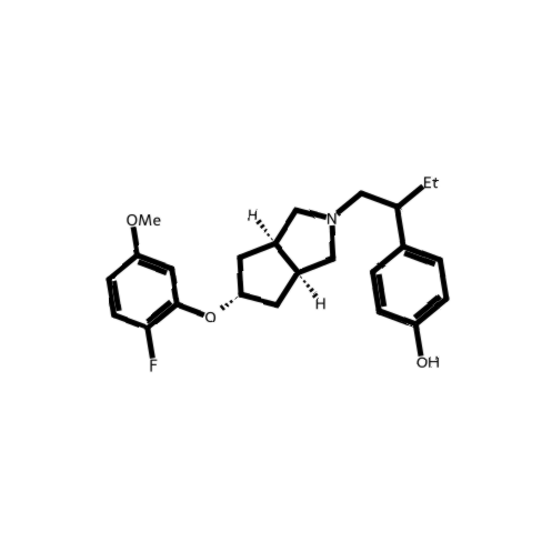 CCC(CN1C[C@H]2C[C@H](Oc3cc(OC)ccc3F)C[C@H]2C1)c1ccc(O)cc1